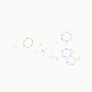 O=S(=O)(c1cccc(OC(F)(F)F)c1)N1CCC(Nc2cc(-c3ccccc3Cl)nc3c(Br)cnn23)CC1